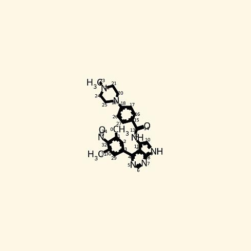 Cc1cc(-c2ncnc3[nH]cc(NC(=O)c4ccc(N5CCN(C)CC5)cc4)c23)cc(C)c1N=O